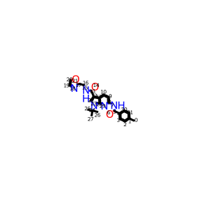 Cc1ccc(C(=O)Nc2ccc3c(C(=O)NCc4ncco4)cn(C(C)(C)C)c3n2)cc1